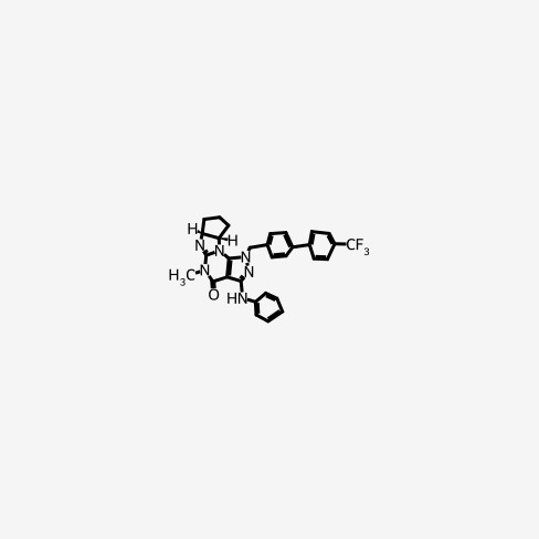 CN1C(=O)c2c(Nc3ccccc3)nn(Cc3ccc(-c4ccc(C(F)(F)F)cc4)cc3)c2N2C1=N[C@@H]1CCC[C@@H]12